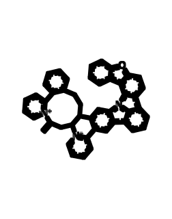 C=C1CC2C(CCc3ccccc3-c3cccc[n+]31)c1cc3c(cc1-c1cccc[n+]12)c1cccc2c4ccc5oc6ccccc6c5c4n3c12